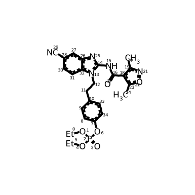 CCOP(=O)(OCC)Oc1ccc(CCn2c(NC(=O)c3c(C)noc3C)nc3cc(C#N)ccc32)cc1